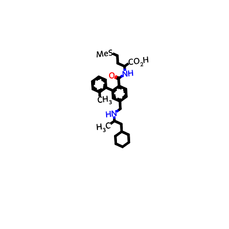 CSCCC(NC(=O)c1ccc(CNC(C)CC2CCCCC2)cc1-c1ccccc1C)C(=O)O